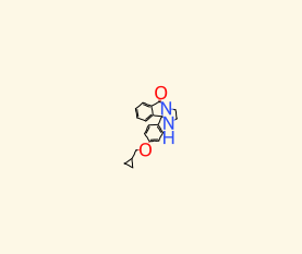 O=C1c2ccccc2C2(c3ccc(OCC4CC4)cc3)NCCN12